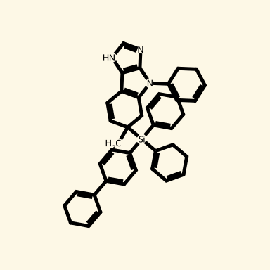 CC1([Si](C2=CCCC=C2)(C2=CC=CCC2)c2ccc(C3=CCCC=C3)cc2)C=Cc2c(n(C3=CC=CCC3)c3nc[nH]c23)C1